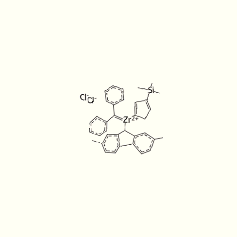 Cc1ccc2c(c1)[CH]([Zr+2]([C]1=CC([Si](C)(C)C)=CC1)=[C](c1ccccc1)c1ccccc1)c1cc(C)ccc1-2.[Cl-].[Cl-]